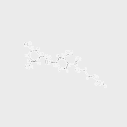 COCCOC(=O)c1ccc(NSc2cc(Cl)cc(Cl)c2)cc1O